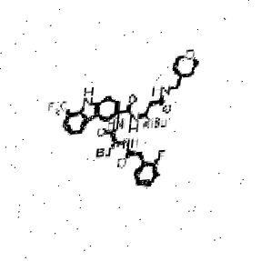 CCC(C)[C@H](NC(=O)Cc1ccccc1F)C(=O)N[C@]1(C(=O)NC(CC(=O)NCC2CCOCC2)[C@H](C)CC)CCc2[nH]c3c(C(F)(F)F)cccc3c2C1